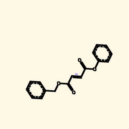 O=C(/C=C/C(=O)Oc1ccccc1)OCc1ccccc1